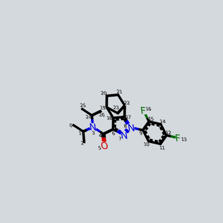 CC(C)N(C(=O)c1nn(-c2ccc(F)cc2F)c2c1C1CCC2C1)C(C)C